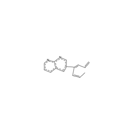 C=C/C=C(\C=C/C)c1cnc2ncccc2c1